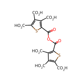 O=C(O)c1sc(C(=O)OC(=O)c2sc(C(=O)O)c(C(=O)O)c2C(=O)O)c(C(=O)O)c1C(=O)O